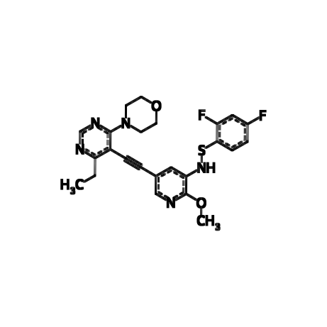 CCc1ncnc(N2CCOCC2)c1C#Cc1cnc(OC)c(NSc2ccc(F)cc2F)c1